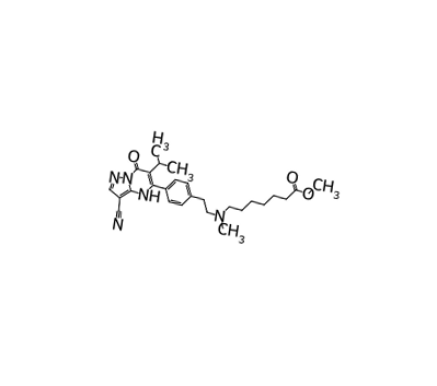 COC(=O)CCCCCCN(C)CCc1ccc(-c2[nH]c3c(C#N)cnn3c(=O)c2C(C)C)cc1